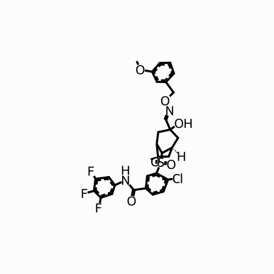 COc1cccc(CO/N=C/C2(O)CC3C(S(=O)(=O)c4cc(C(=O)Nc5cc(F)c(F)c(F)c5)ccc4Cl)[C@H](C[C@H]3C)C2)c1